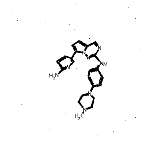 CN1CCN(c2ccc(Nc3ncc4ccc(-c5ccc(N)nc5)n4n3)cc2)CC1